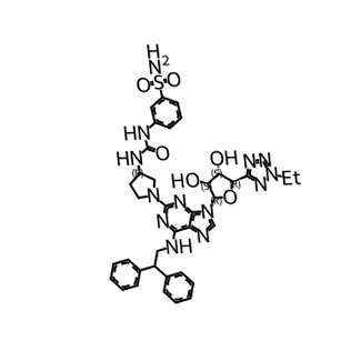 CCn1nnc([C@H]2O[C@@H](n3cnc4c(NCC(c5ccccc5)c5ccccc5)nc(N5CC[C@@H](NC(=O)Nc6cccc(S(N)(=O)=O)c6)C5)nc43)[C@@H](O)[C@@H]2O)n1